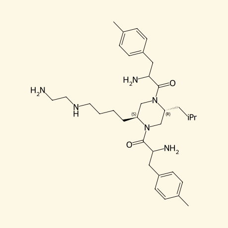 Cc1ccc(CC(N)C(=O)N2C[C@H](CCCCNCCN)N(C(=O)C(N)Cc3ccc(C)cc3)C[C@H]2CC(C)C)cc1